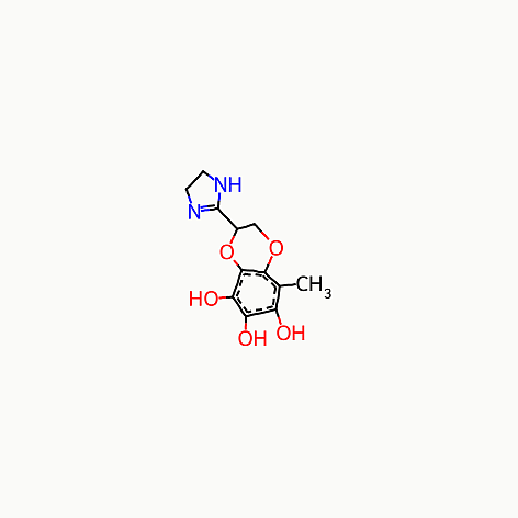 Cc1c(O)c(O)c(O)c2c1OCC(C1=NCCN1)O2